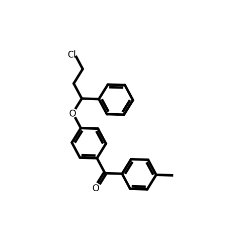 Cc1ccc(C(=O)c2ccc(OC(CCCl)c3ccccc3)cc2)cc1